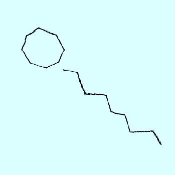 C1CCCCCCC1.CCCCCCCCC